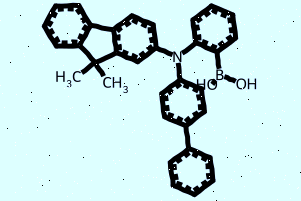 CC1(C)c2ccccc2-c2ccc(N(c3ccc(-c4ccccc4)cc3)c3ccccc3B(O)O)cc21